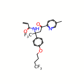 C=CC(=O)NC(CC(=O)c1ccc(C)cn1)(c1ccc(OCCCC(F)(F)F)cc1)C(F)(F)F